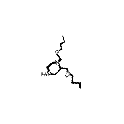 CCCCOCC1CNCCN1COCCCC